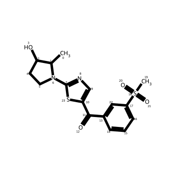 CC1C(O)CCN1c1ncc(C(=O)c2cccc(S(C)(=O)=O)c2)s1